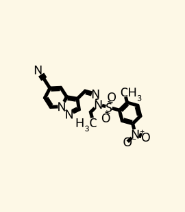 CCN(/N=C\c1cnn2ccc(C#N)cc12)S(=O)(=O)c1cc([N+](=O)[O-])ccc1C